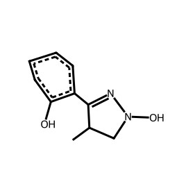 CC1CN(O)N=C1c1ccccc1O